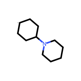 [CH]1CCC(N2CCCCC2)CC1